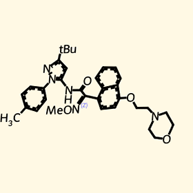 CO/N=C(\C(=O)Nc1cc(C(C)(C)C)nn1-c1ccc(C)cc1)c1ccc(OCCN2CCOCC2)c2ccccc12